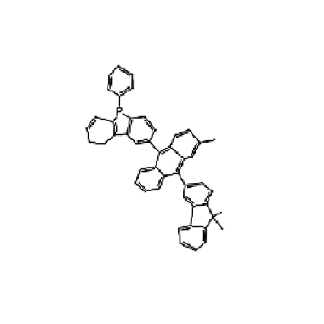 Cc1ccc2c(-c3ccc4c(c3)c3c(p4-c4ccccc4)C=CCC3)c3ccccc3c(-c3ccc4c(c3)-c3ccccc3C4(C)C)c2c1